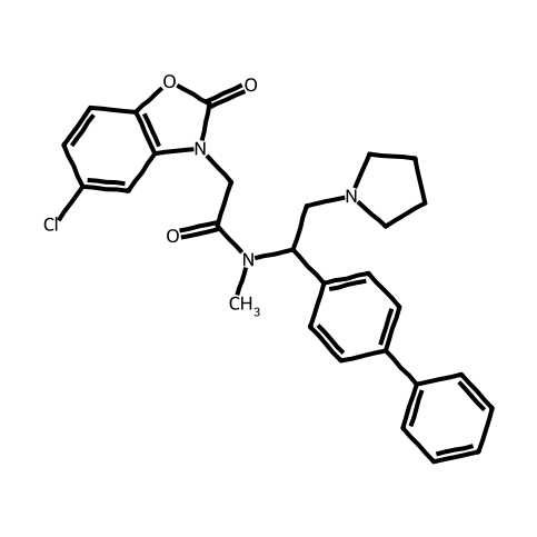 CN(C(=O)Cn1c(=O)oc2ccc(Cl)cc21)C(CN1CCCC1)c1ccc(-c2ccccc2)cc1